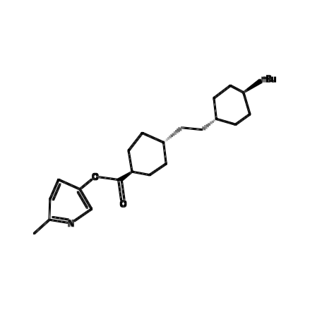 CCCC[C@H]1CC[C@H](CC[C@H]2CC[C@H](C(=O)Oc3ccc(C)nc3)CC2)CC1